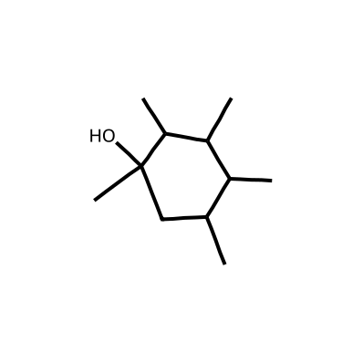 CC1CC(C)(O)C(C)C(C)C1C